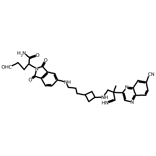 CC(C=N)(CNC1CC(CCCNc2ccc3c(c2)C(=O)N(C(CCC=O)C(N)=O)C3=O)C1)c1cnc2ccc(C#N)cc2n1